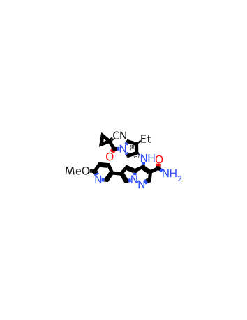 CC[C@@H]1CN(C(=O)C2(C#N)CC2)C[C@H]1Nc1c(C(N)=O)cnn2cc(-c3ccc(OC)nc3)cc12